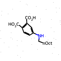 CCCCCCCCCNc1ccc(C(=O)O)c(C(=O)O)c1